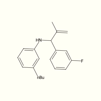 C=C(C)C(Nc1cccc(CCCC)c1)c1cccc(F)c1